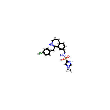 Cn1cnc(S(=O)(=O)NCc2ccc3c(c2)C(Cc2ccc(F)cc2)NCCC3)c1